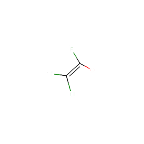 [O]/C(F)=C(/F)Cl